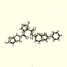 Cn1cc2c(n1)CN(C(=O)c1cnn(C)c1C(=O)Nc1ccn3cc(-c4ccccc4)nc3n1)C2